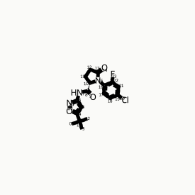 CC(C)(C)c1cc(NC(=O)[C@@H]2CCC(=O)N2c2ccc(Cl)cc2F)no1